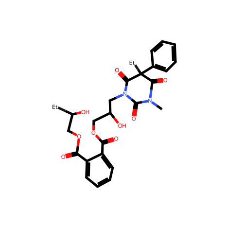 CCC(O)COC(=O)c1ccccc1C(=O)OCC(O)CN1C(=O)N(C)C(=O)C(CC)(c2ccccc2)C1=O